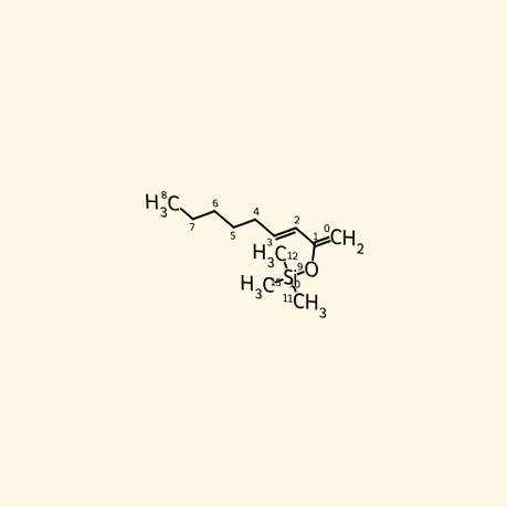 C=C(C=CCCCCC)O[Si](C)(C)C